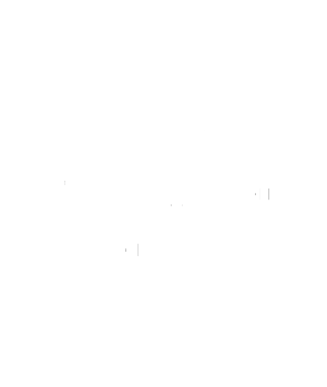 OC(Cl)OCC(Cl)(Cl)Cl